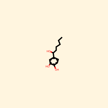 CCCCCC(O)c1ccc(O)c(O)c1